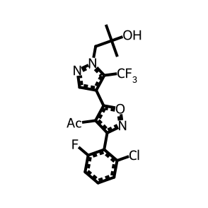 CC(=O)c1c(-c2c(F)cccc2Cl)noc1-c1cnn(CC(C)(C)O)c1C(F)(F)F